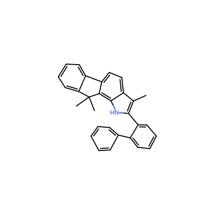 Cc1c(-c2ccccc2-c2ccccc2)[nH]c2c3c(ccc12)-c1ccccc1C3(C)C